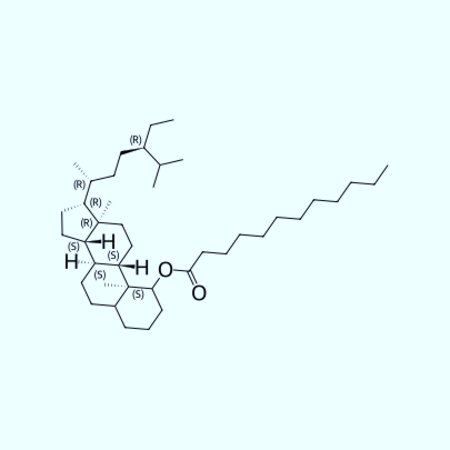 CCCCCCCCCCCC(=O)OC1CCCC2CC[C@@H]3[C@H](CC[C@]4(C)[C@@H]([C@H](C)CC[C@@H](CC)C(C)C)CC[C@@H]34)[C@]21C